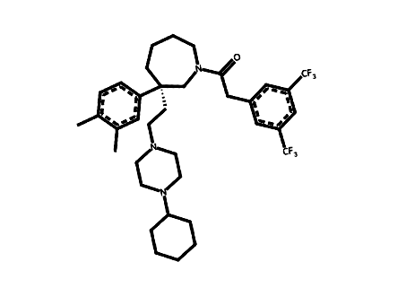 Cc1ccc([C@@]2(CCN3CCN(C4CCCCC4)CC3)CCCCN(C(=O)Cc3cc(C(F)(F)F)cc(C(F)(F)F)c3)C2)cc1C